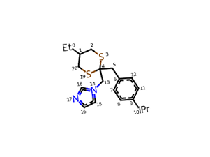 CCC1CSC(Cc2ccc(C(C)C)cc2)(Cn2ccnc2)SC1